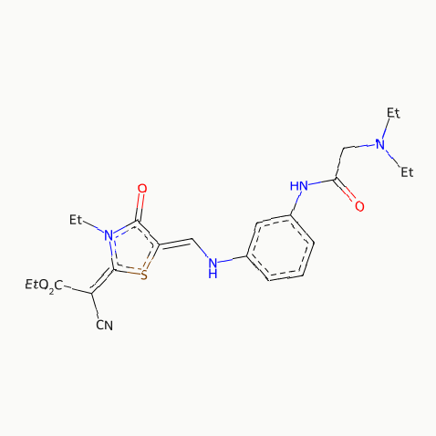 CCOC(=O)C(C#N)=c1sc(=CNc2cccc(NC(=O)CN(CC)CC)c2)c(=O)n1CC